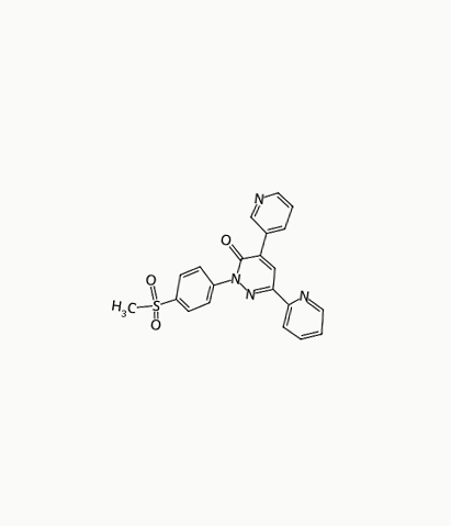 CS(=O)(=O)c1ccc(-n2nc(-c3ccccn3)cc(-c3cccnc3)c2=O)cc1